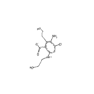 Nc1c(Cl)cc(NCCO)c([N+](=O)[O-])c1CCO